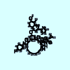 COc1ccc2c(O[C@@H]3C[C@H]4C(=O)N[C@]5(C(=O)NS(=O)(=O)C6CC6)C[C@H]5/C=C\CCCCC[C@H](Nc5ccc(F)cc5)C(=O)N4C3)cc(-c3nccs3)nc2c1C